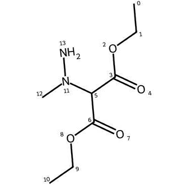 CCOC(=O)C(C(=O)OCC)N(C)N